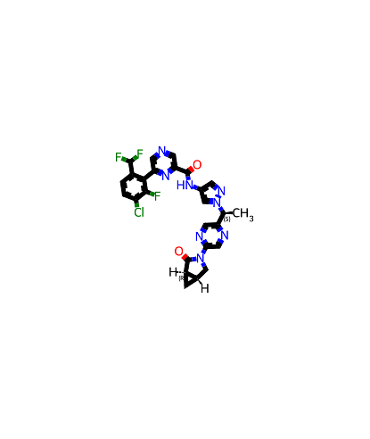 C[C@@H](c1cnc(N2C[C@H]3C[C@H]3C2=O)cn1)n1cc(NC(=O)c2cncc(-c3c(C(F)F)ccc(Cl)c3F)n2)cn1